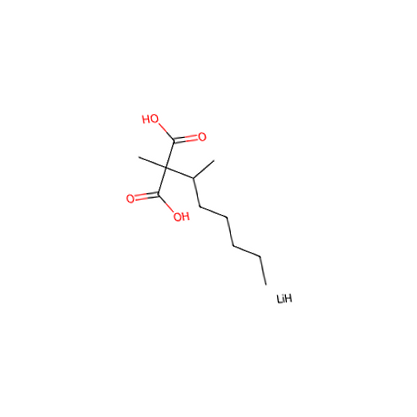 CCCCCC(C)C(C)(C(=O)O)C(=O)O.[LiH]